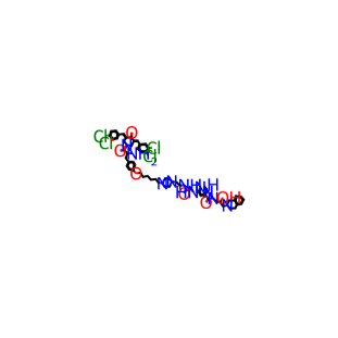 NC(Cc1ccc(OCCCCCCN2CCN(CCNC(=O)CNc3cc(C(=O)NCC(O)CN4CCc5ccccc5C4)ncn3)CC2)cc1)C(=O)N1CC(=Cc2ccc(Cl)c(Cl)c2)C(=O)C(=Cc2ccc(Cl)c(Cl)c2)C1